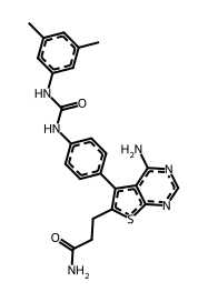 Cc1cc(C)cc(NC(=O)Nc2ccc(-c3c(CCC(N)=O)sc4ncnc(N)c34)cc2)c1